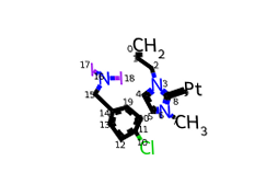 C=CCn1ccn(C)[c]1=[Pt].Clc1ccc(CN(I)I)cc1